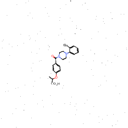 CC(Oc1ccc(C(=O)N2CCN(c3ccccc3C(C)(C)C)CC2)cc1)C(=O)O